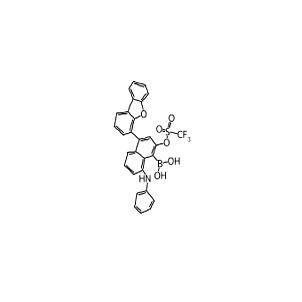 O=S(=O)(Oc1cc(-c2cccc3c2oc2ccccc23)c2cccc(Nc3ccccc3)c2c1B(O)O)C(F)(F)F